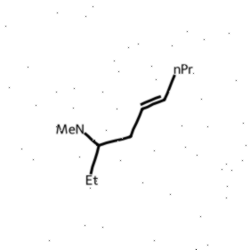 CCC/C=C/CC(CC)NC